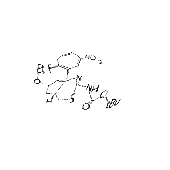 CCO[C@H]1C[C@H]2CSC(NC(=O)OC(C)(C)C)=N[C@@]2(c2cc([N+](=O)[O-])ccc2F)C1